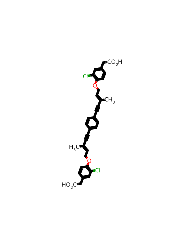 CC(C#Cc1ccc(C#CC(C)=CCOc2ccc(CC(=O)O)cc2Cl)cc1)=CCOc1ccc(CC(=O)O)cc1Cl